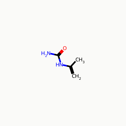 C=C(C)NC(N)=O